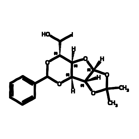 CC1(C)O[C@H]2O[C@H]3[C@H](OC(c4ccccc4)O[C@@H]3C(O)I)[C@H]2O1